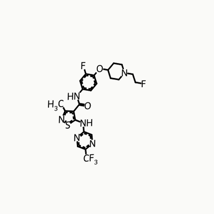 Cc1nsc(Nc2cnc(C(F)(F)F)cn2)c1C(=O)Nc1ccc(OC2CCN(CCF)CC2)c(F)c1